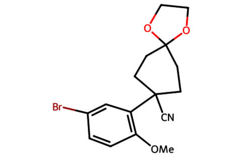 COc1ccc(Br)cc1C1(C#N)CCC2(CC1)OCCO2